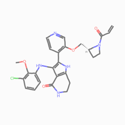 C=CC(=O)N1CC[C@@H]1COc1cnccc1-c1[nH]c2c(c1Nc1cccc(Cl)c1OC)C(=O)NCC2